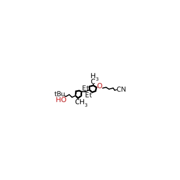 CCC(CC)(c1ccc(CCC(O)C(C)(C)C)c(C)c1)c1ccc(OCCCCCC#N)c(C)c1